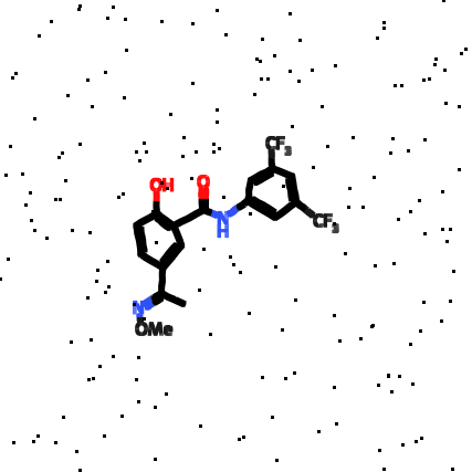 CO/N=C(\C)c1ccc(O)c(C(=O)Nc2cc(C(F)(F)F)cc(C(F)(F)F)c2)c1